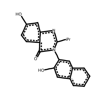 CC(C)c1nc2cc(O)ccc2c(=O)n1-c1cc2ccccc2cc1O